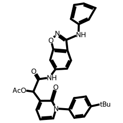 CC(=O)OC(C(=O)Nc1ccc2c(Nc3ccccc3)noc2c1)c1cccn(-c2ccc(C(C)(C)C)cc2)c1=O